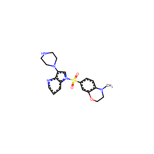 CN1CCOc2cc(S(=O)(=O)n3cc(N4CCNCC4)c4ncccc43)ccc21